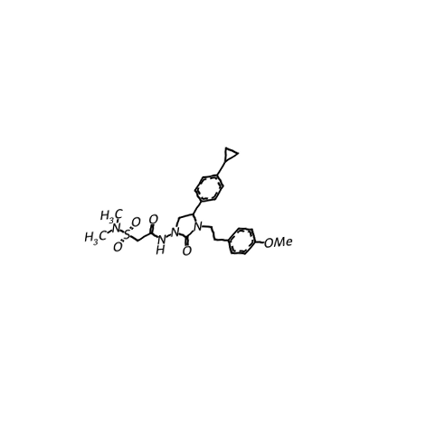 COc1ccc(CCN2C(=O)N(NC(=O)CS(=O)(=O)N(C)C)CC2c2ccc(C3CC3)cc2)cc1